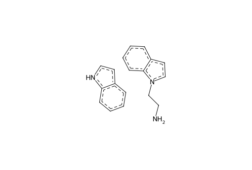 NCCn1ccc2ccccc21.c1ccc2[nH]ccc2c1